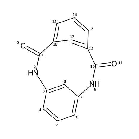 O=c1[nH]c2cccc(c2)[nH]c(=O)c2cccc1c2